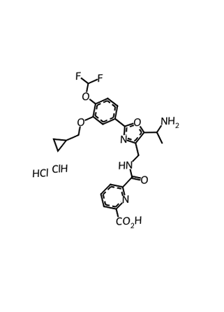 CC(N)c1oc(-c2ccc(OC(F)F)c(OCC3CC3)c2)nc1CNC(=O)c1cccc(C(=O)O)n1.Cl.Cl